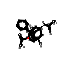 O=C(N[C@@H](c1ccccc1)[C@@H]1C2CC3C[C@]2(Cl)C[C@]1(OC(=O)C(F)(F)F)C3)C(F)(F)F